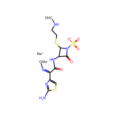 CON=C(C(=O)NC1C(=O)N(S(=O)(=O)[O-])C1SCCNC=O)c1csc(N)n1.[Na+]